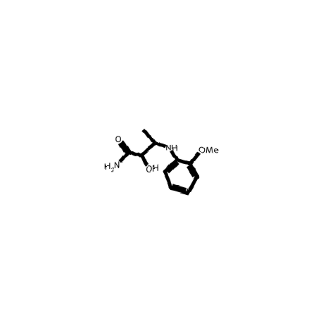 COc1ccccc1NC(C)C(O)C(N)=O